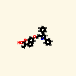 CCC(C(=O)O)C1CCc2cc(OCCC3=C(c4ccccc4)CC(c4ccccc4)=N3)ccc21